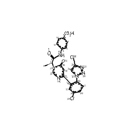 C[C@@H](C(=O)Nc1ccc(C(=O)O)cc1)n1cnc(-c2cc(Cl)ccc2-n2cc(Cl)nn2)cc1=O